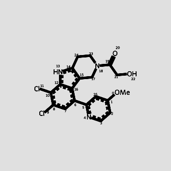 COc1ccnc(-c2cc(Cl)c(Cl)c3[nH]c4c(c23)CN(C(=O)CO)CC4)c1